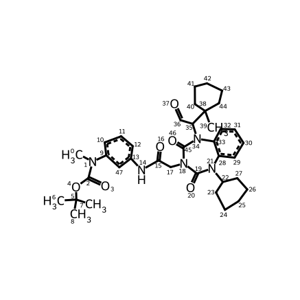 CN(C(=O)OC(C)(C)C)c1cccc(NC(=O)CN2C(=O)N(C3CCCCC3)c3ccccc3N(C(C=O)C3(C)CCCCC3)C2=O)c1